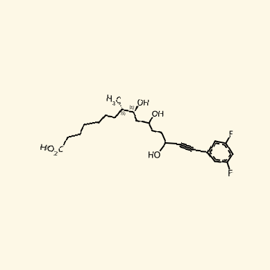 C[C@@H](CCCCCCC(=O)O)[C@@H](O)CC(O)CCC(O)C#Cc1cc(F)cc(F)c1